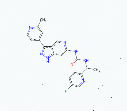 Cc1cc(-c2n[nH]c3cc(NC(=O)NC(C)c4ccc(F)cn4)ncc23)ccn1